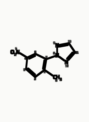 Cc1ccc([N+](=O)[O-])cc1-n1nccn1